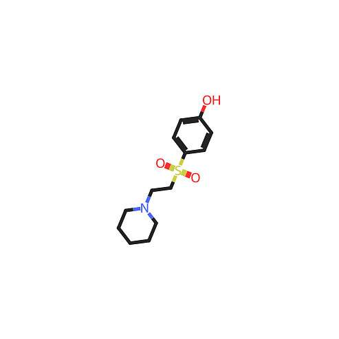 O=S(=O)(CCN1CCCCC1)c1ccc(O)cc1